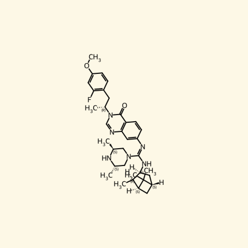 COc1ccc(C[C@@H](C)n2cnc3cc(N=C(N[C@H]4C[C@@H]5C[C@@H]([C@H]4C)C5(C)C)N4C[C@H](C)N[C@@H](C)C4)ccc3c2=O)c(F)c1